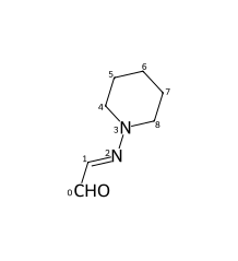 O=CC=NN1CCCCC1